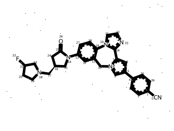 N#Cc1ccc(-c2cc3n(c2)Cc2cc(N4C[C@@H](CN5CCC(F)C5)CC4=O)ccc2-n2ccnc2-3)cc1